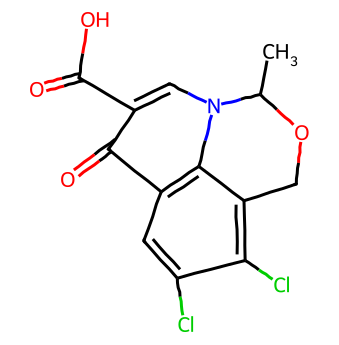 CC1OCc2c(Cl)c(Cl)cc3c(=O)c(C(=O)O)cn1c23